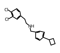 Clc1ccc(CCNCc2ccc(C3CCC3)cc2)cc1Cl